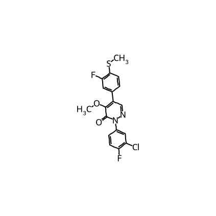 COc1c(-c2ccc(SC)c(F)c2)cnn(-c2ccc(F)c(Cl)c2)c1=O